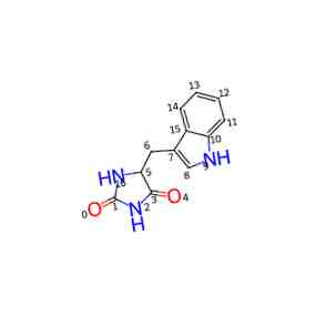 O=C1NC(=O)C(Cc2c[nH]c3ccccc23)N1